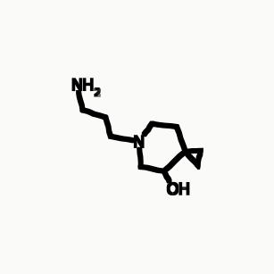 NCCCN1CCC2(CC2)C(O)C1